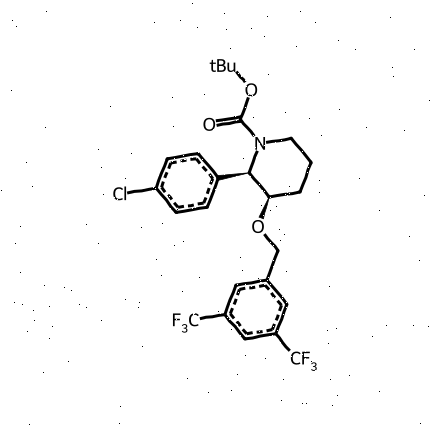 CC(C)(C)OC(=O)N1CCC[C@@H](OCc2cc(C(F)(F)F)cc(C(F)(F)F)c2)[C@H]1c1ccc(Cl)cc1